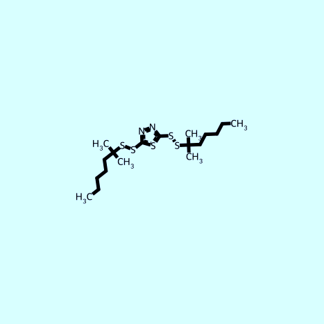 CCCCCC(C)(C)SSc1nnc(SSC(C)(C)CCCCC)s1